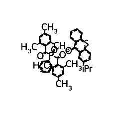 CC(C)c1ccc2sc3ccccc3c(=O)c2c1.Cc1cc(C)c(C(=O)P(=O)(C(=O)c2c(C)cc(C)cc2C)c2ccccc2)c(C)c1